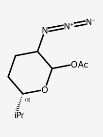 CC(=O)OC1O[C@H](C(C)C)CCC1N=[N+]=[N-]